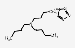 CCCCN(CCCC)CCCC.c1nnn[nH]1